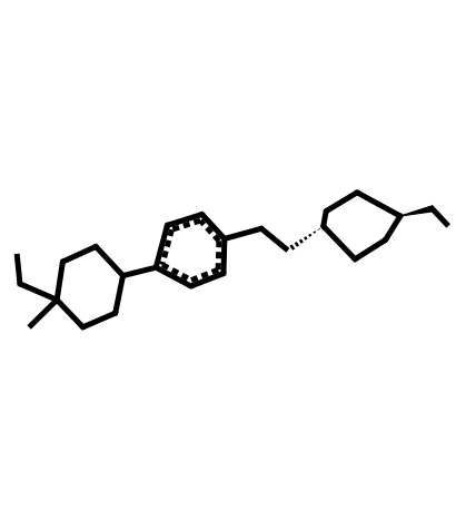 CCC1(C)CCC(c2ccc(CC[C@H]3CC[C@H](CC)CC3)cc2)CC1